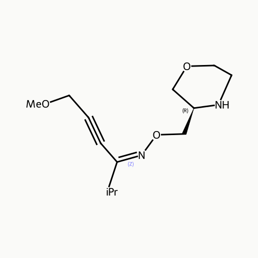 COCC#C/C(=N\OC[C@H]1COCCN1)C(C)C